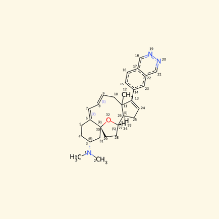 CN(C)[C@@H]1CC/C2=C/C=C/CC3(C)C(c4ccc5cnncc5c4)=CC[C@H]3[C@@H]3CC[C@]2(C1)O3